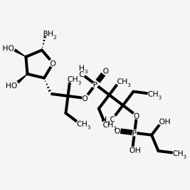 B[C@@H]1O[C@H](CC(C)(CC)OP(C)(=O)C(C)(CC)C(C)(CC)OP(=O)(O)C(O)CC)[C@@H](O)[C@H]1O